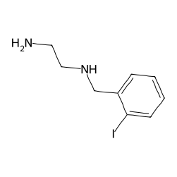 NCCNCc1ccccc1I